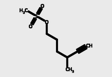 C#CC(C)CCCOS(C)(=O)=O